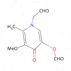 COc1c(C)n(CC=O)cc(OC=O)c1=O